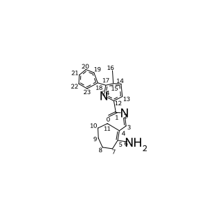 C=C(/N=C\C1=C(N)CCCCC1)c1ccc(C)c(-c2ccccc2)n1